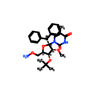 CO[C@@H]1[C@H](OC(C)(C)C)[C@@H](CON)O[C@]1(n1cc(C)c(=O)[nH]c1=O)[SiH](c1ccccc1)c1ccccc1